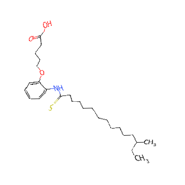 CCC(C)CCCCCCCCCCCC(=S)Nc1ccccc1OCCCCC(=O)O